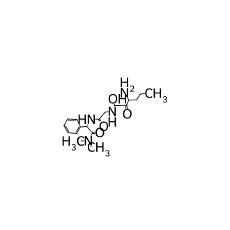 CCCC(N)C(=O)[C@H](O)NCC(=O)N[C@H](C(=O)N(C)C)c1ccccc1